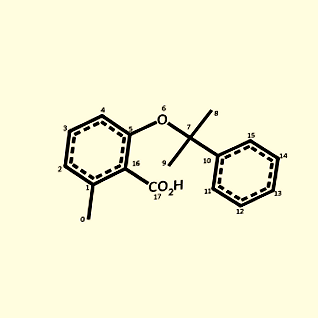 Cc1cccc(OC(C)(C)c2ccccc2)c1C(=O)O